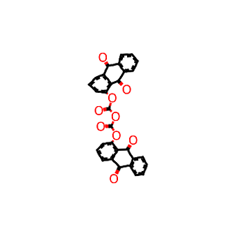 O=C(OC(=O)Oc1cccc2c1C(=O)c1ccccc1C2=O)Oc1cccc2c1C(=O)c1ccccc1C2=O